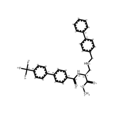 COC(=O)[C@H](CNCc1ccc(-c2ccccc2)cc1)NC(=O)c1ccc(-c2ccc(C(F)(F)F)cc2)cc1